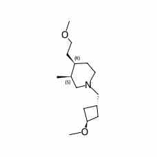 COCC[C@H]1CCN(C[C@H]2C[C@H](OC)C2)C[C@H]1C